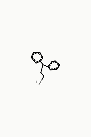 [CH2]CCC(c1ccccc1)c1ccccc1